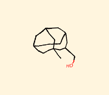 CC12CC3CC(CC(C3)C1CO)C2